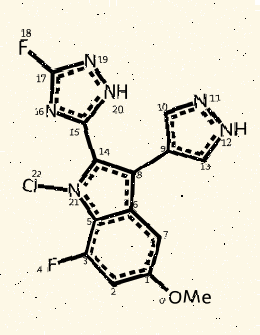 COc1cc(F)c2c(c1)c(-c1cn[nH]c1)c(-c1nc(F)n[nH]1)n2Cl